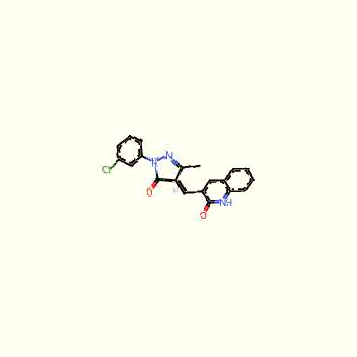 CC1=NN(c2cccc(Cl)c2)C(=O)/C1=C/c1cc2ccccc2[nH]c1=O